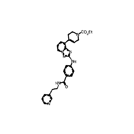 CCOC(=O)N1CC=C(c2cccn3nc(Nc4ccc(C(=O)NCCc5cccnc5)cc4)nc23)CC1